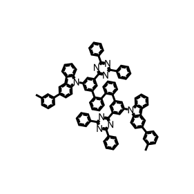 Cc1cccc(-c2ccc3c(c2)c2ccccc2n3-c2cc(-c3nc(-c4ccccc4)nc(-c4ccccc4)n3)cc(-c3ccccc3-c3ccccc3-c3cc(-c4nc(-c5ccccc5)nc(-c5ccccc5)n4)cc(-n4c5ccccc5c5cc(-c6cccc(C)c6)ccc54)c3)c2)c1